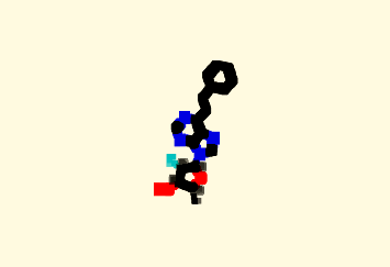 [CH2][C@H]1O[C@@H](n2cnc3c(CCc4ccccc4)ncnc32)[C@@H](F)[C@@H]1O